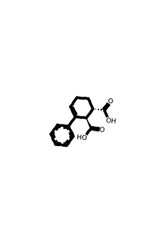 O=C(O)[C@H]1C(c2ccccc2)=CCC[C@@H]1C(=O)O